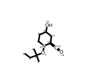 CCC(C)(C)ON1CCC(O)CC1=C=O